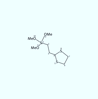 CO[Si](CCC1SCCS1)(OC)OC